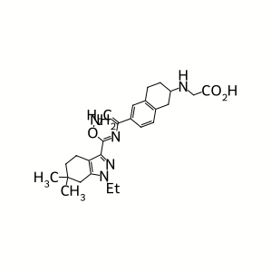 C=C(/N=C(\ON)c1nn(CC)c2c1CCC(C)(C)C2)c1ccc2c(c1)CCC(NCC(=O)O)C2